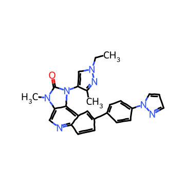 CCn1cc(-n2c(=O)n(C)c3cnc4ccc(-c5ccc(-n6cccn6)cc5)cc4c32)c(C)n1